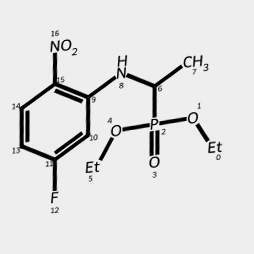 CCOP(=O)(OCC)C(C)Nc1cc(F)ccc1[N+](=O)[O-]